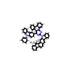 CC1(C)c2ccccc2-c2ccc3cc4c5ccccc5n(-c5nc(-c6ccc7c(c6)c6ccccc6n7-c6ccccc6)c6c7ccccc7c7ccccc7c6n5)c4cc3c21